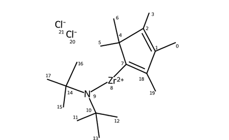 CC1=C(C)C(C)(C)[C]([Zr+2][N](C(C)(C)C)C(C)(C)C)=C1C.[Cl-].[Cl-]